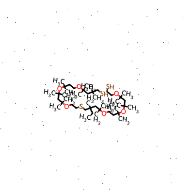 CCC(C)(CSCCOC(C)(C)CC(C)(C)OC(C)(C)CCOC(C)(C)CC(C)(C)CS)CC(C)(C)OCCC(C)(C)OC(C)(C)CC(C)(C)OCCS